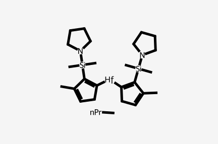 CC1=CC[C]([Hf][C]2=C([Si](C)(C)N3CCCC3)C(C)=CC2)=C1[Si](C)(C)N1CCCC1.CCCC